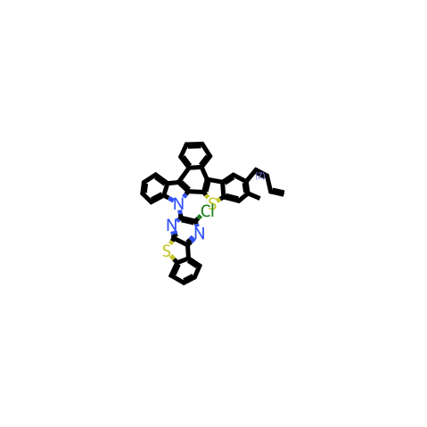 C=C/C=C\c1cc2c(cc1C)sc1c2c2ccccc2c2c3ccccc3n(-c3nc4sc5ccccc5c4nc3Cl)c12